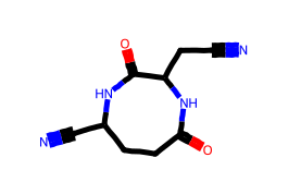 N#CCC1NC(=O)CCC(C#N)NC1=O